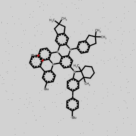 CC1(C)Cc2ccc(N3c4cc5c(cc4B4c6ccc(C(C)(C)C)cc6N(c6ccc(C(C)(C)C)cc6-c6ccccc6)c6cc(N7c8ccc(-c9ccc(C(C)(C)C)cc9)cc8C8(C)CCCCC78C)cc3c64)CC(C)(C)C5)cc2C1